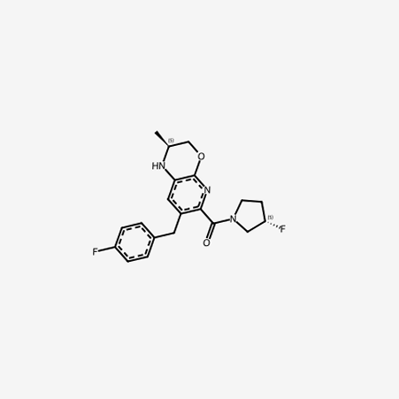 C[C@H]1COc2nc(C(=O)N3CC[C@H](F)C3)c(Cc3ccc(F)cc3)cc2N1